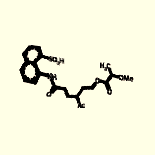 COC(C)C(=O)OCCC(CCC(=O)Nc1cccc2cccc(S(=O)(=O)O)c12)C(C)=O